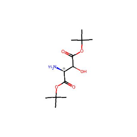 CC(C)(C)OC(=O)C(O)[C@H](N)C(=O)OC(C)(C)C